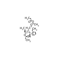 C=CC#N.C=CC(=O)OC(C)OCC.C=CC(=O)OCCCC.C=CC12C=CC(CC1)C2